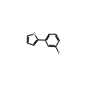 Fc1[c]c(-c2ccco2)ccc1